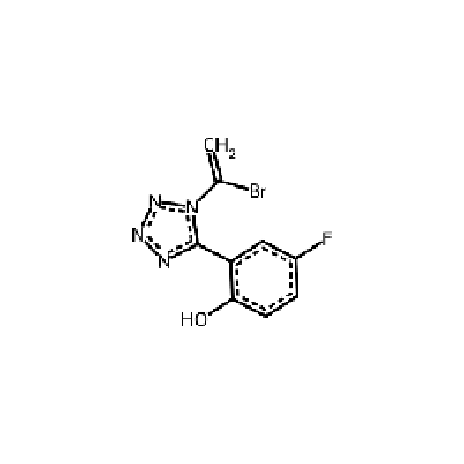 C=C(Br)n1nnnc1-c1cc(F)ccc1O